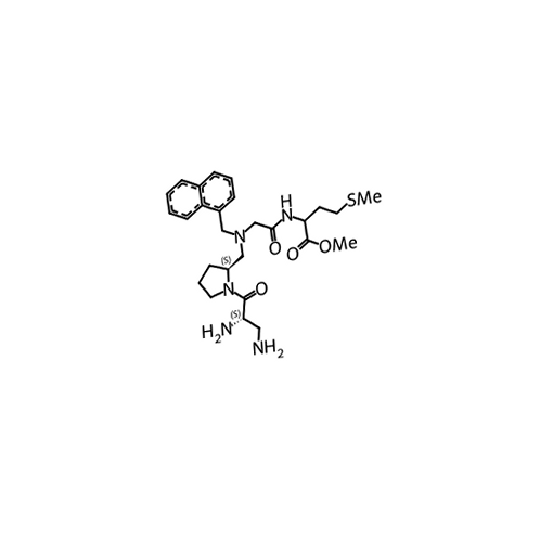 COC(=O)C(CCSC)NC(=O)CN(Cc1cccc2ccccc12)C[C@@H]1CCCN1C(=O)[C@@H](N)CN